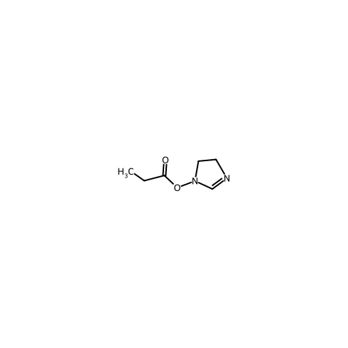 CCC(=O)ON1C=NCC1